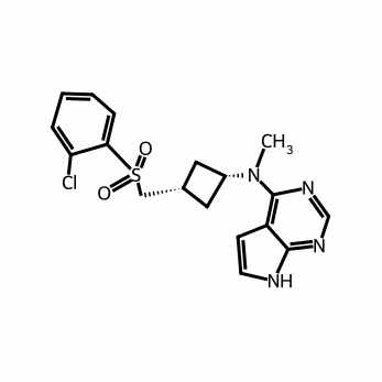 CN(c1ncnc2[nH]ccc12)[C@H]1C[C@@H](CS(=O)(=O)c2ccccc2Cl)C1